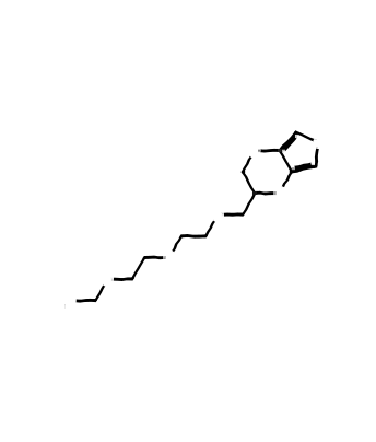 CCOCCOCCOCC1COc2cscc2O1